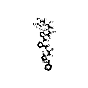 COC1=CC(=O)N(C(=O)[C@@H](OC(=O)C2CCCN2C(=O)C2CCCN2C(=O)[C@H](C(C)C)N(C)C(=O)[C@@H](NC(=O)[C@H](C(C)C)N(C)C)C(C)C)C(C)C)[C@H]1Cc1ccccc1